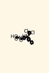 O=C(O)CCNC(=O)c1ccc(C(NCc2cc(Cl)cc(Cl)c2)c2ccc(C3CCCCC3)cc2)cc1